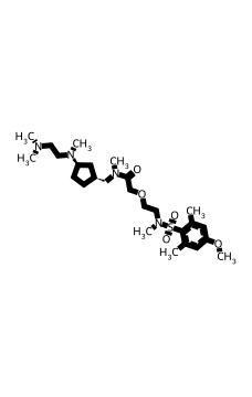 COc1cc(C)c(S(=O)(=O)N(C)CCOCC(=O)N(C)C[C@@H]2CC[C@@H](N(C)CCN(C)C)C2)c(C)c1